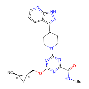 CC(C)(C)NC(=O)c1nc(OC[C@H]2C[C@H]2C#N)nc(N2CCC(c3n[nH]c4ncccc34)CC2)n1